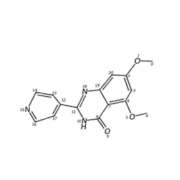 COc1cc(OC)c2c(=O)[nH]c(-c3ccncc3)nc2c1